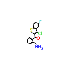 NCc1ccccc1C(=O)C1=C(Cl)c2cc(F)ccc2SC1